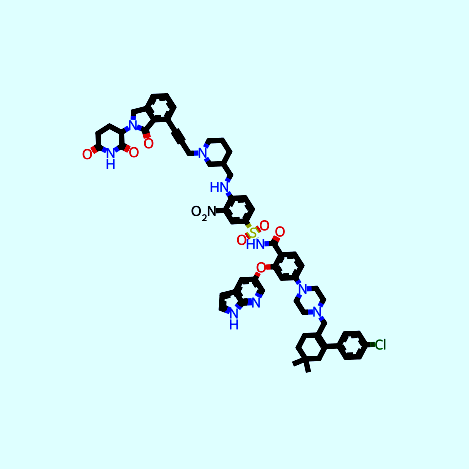 CC1(C)CCC(CN2CCN(c3ccc(C(=O)NS(=O)(=O)c4ccc(NCC5CCCN(CC#Cc6cccc7c6C(=O)N(C6CCC(=O)NC6=O)C7)C5)c([N+](=O)[O-])c4)c(Oc4cnc5[nH]ccc5c4)c3)CC2)=C(c2ccc(Cl)cc2)C1